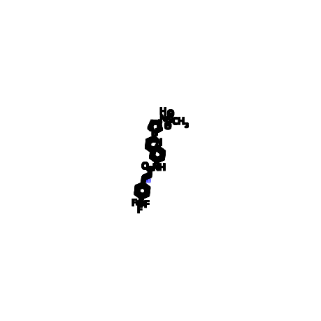 CS(=O)(=O)NC1CCN(c2ccc3cc(NC(=O)/C=C/c4ccc(C(F)(F)F)cc4)ccc3n2)C1